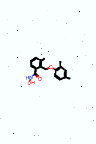 Cc1ccc(OCc2c(C)cccc2C(=O)NO)c(C)c1